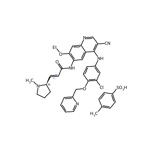 CCOc1cc2ncc(C#N)c(Nc3ccc(OCc4ccccn4)c(Cl)c3)c2cc1NC(=O)/C=C/[C@H]1CCCN1C.Cc1ccc(S(=O)(=O)O)cc1